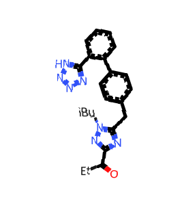 CCC(=O)c1nc(Cc2ccc(-c3ccccc3-c3nnn[nH]3)cc2)n(C(C)CC)n1